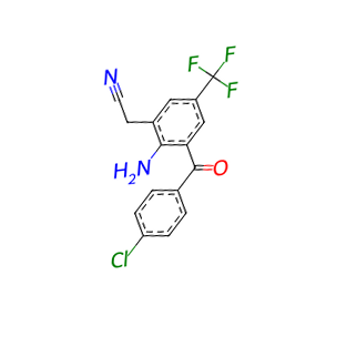 N#CCc1cc(C(F)(F)F)cc(C(=O)c2ccc(Cl)cc2)c1N